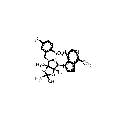 Cc1ccc(S(=O)(=O)O)c(C[C@H]2O[C@@H](n3ccc4c(C)ncnc43)[C@@H]3OC(C)(C)O[C@]23C)c1